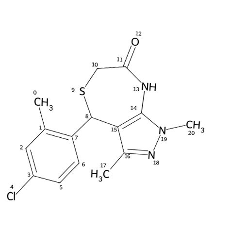 Cc1cc(Cl)ccc1C1SCC(=O)Nc2c1c(C)nn2C